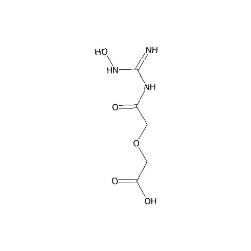 N=C(NO)NC(=O)COCC(=O)O